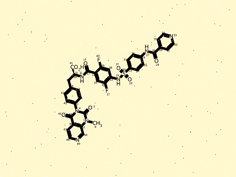 Cn1c(=O)n(-c2ccc(C[C@H](NC(=O)c3cc(F)c(NS(=O)(=O)c4ccc(NC(=O)c5ccncc5)cc4)cc3F)C(=O)O)cc2)c(=O)c2ccncc21